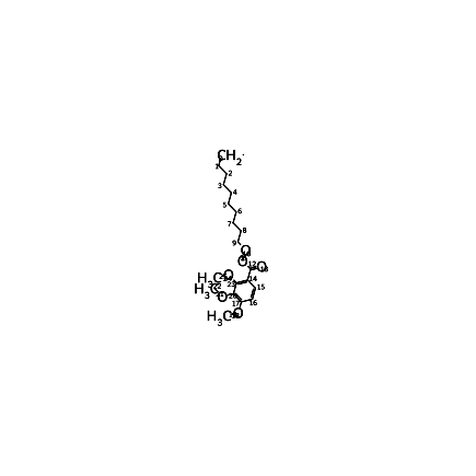 [CH2]CCCCCCCCCOOC(=O)c1ccc(OC)c(OC)c1OC